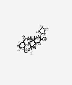 Cc1nc(N[C@H](C)c2cccc(C(F)(F)F)c2)c2cn(C3CCCC3)c(=O)cc2n1